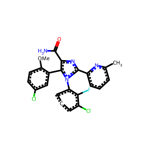 COc1ccc(Cl)cc1-c1c(C(N)=O)nc(-c2cccc(C)n2)n1-c1cccc(Cl)c1F